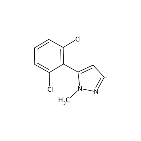 Cn1n[c]cc1-c1c(Cl)cccc1Cl